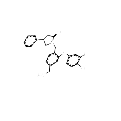 O=C1CC(c2ccccc2)CN1Cc1ccc(CO)cc1Oc1ccc(Cl)c(F)c1